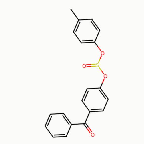 Cc1ccc(OS(=O)Oc2ccc(C(=O)c3ccccc3)cc2)cc1